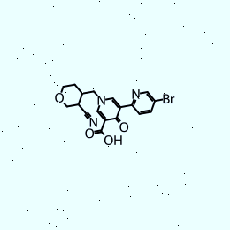 N#CC1COCCC1Cn1cc(C(=O)O)c(=O)c(-c2ccc(Br)cn2)c1